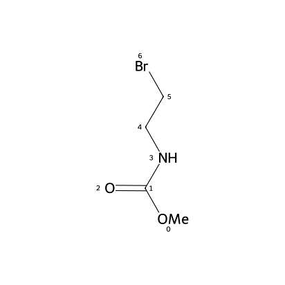 COC(=O)NCCBr